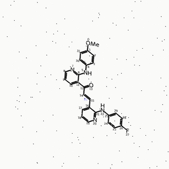 COc1ccc(Nc2ncccc2C(=O)/C=C/c2cccnc2Nc2ccc(F)cc2)cc1